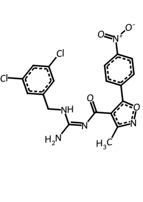 Cc1noc(-c2ccc([N+](=O)[O-])cc2)c1C(=O)/N=C(/N)NCc1cc(Cl)cc(Cl)c1